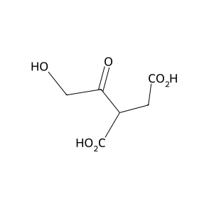 O=C(O)CC(C(=O)O)C(=O)CO